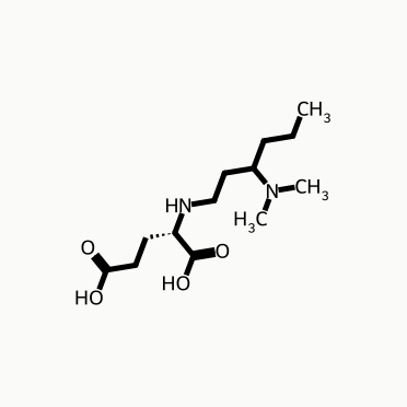 CCCC(CCN[C@@H](CCC(=O)O)C(=O)O)N(C)C